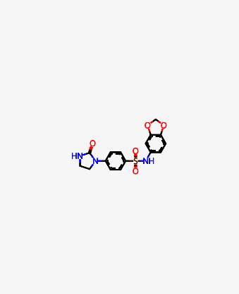 O=C1NCCN1c1ccc(S(=O)(=O)Nc2ccc3c(c2)OCO3)cc1